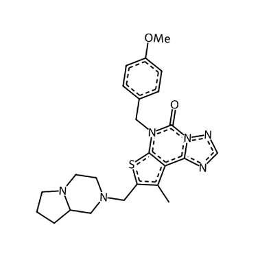 COc1ccc(Cn2c(=O)n3ncnc3c3c(C)c(CN4CCN5CCCC5C4)sc32)cc1